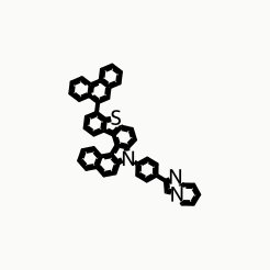 c1ccc2c(c1)cc(-c1cccc3c1sc1ccc4c(c13)c1c3ccccc3ccc1n4-c1ccc(-c3cn4ccccc4n3)cc1)c1ccccc12